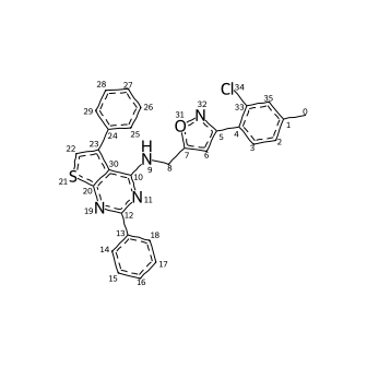 Cc1ccc(-c2cc(CNc3nc(-c4ccccc4)nc4scc(-c5ccccc5)c34)on2)c(Cl)c1